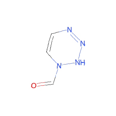 O=CN1C=CN=NN1